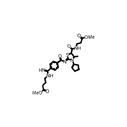 COC(=O)CCCNC(=N)c1ccc(C(=O)N=C2SC(C(=O)NCCC(=O)OC)C(C)N2C2CCCC2)cc1